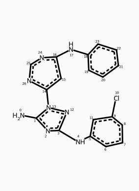 Nc1nc(Nc2cccc(Cl)c2)nn1-c1cc(Nc2ccccc2)ncn1